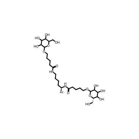 CC(=O)[C@@H](CCCCNC(=O)CCCCOC1OC(CO)C(O)C(O)C1O)NC(=O)CCCCOC1O[C@@H](CO)C(O)C(O)C1O